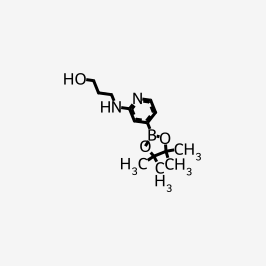 CC1(C)OB(c2ccnc(NCCCO)c2)OC1(C)C